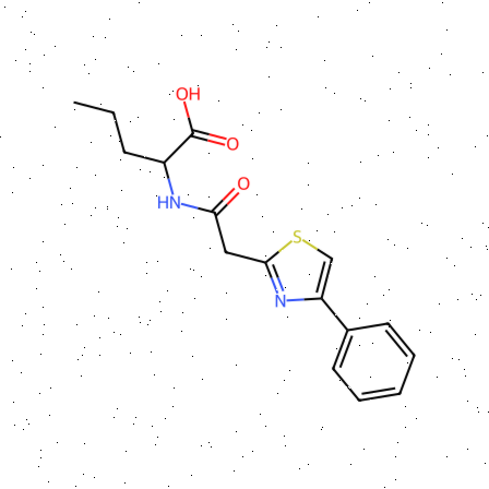 CCCC(NC(=O)Cc1nc(-c2ccccc2)cs1)C(=O)O